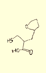 O=C(O)C(CS)CC1CCCO1